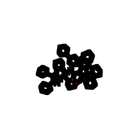 c1ccc(-c2cc(-c3ccccc3)cc(N(c3cccc4c3-c3ccccc3C4(c3ccccc3)c3ccccc3)c3c(-c4ccccc4)n4nc(-c5ccccc5)c(-c5ccccc5)c4c4ccccc34)c2)cc1